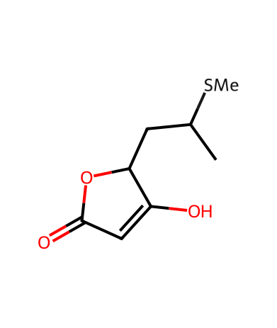 CSC(C)CC1OC(=O)C=C1O